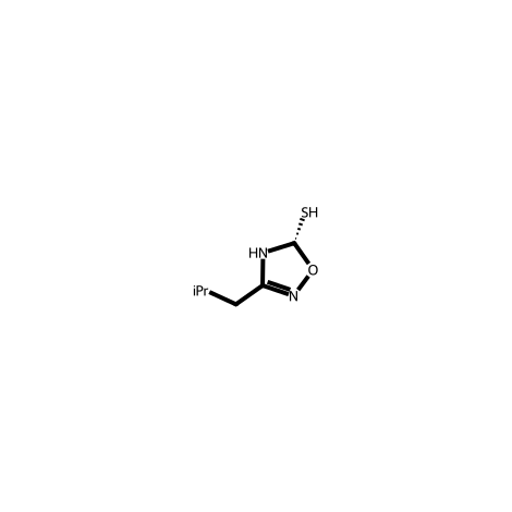 CC(C)CC1=NO[C@@H](S)N1